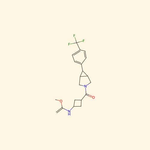 C=C(NC1CC(C(=O)N2CC3C(C2)C3c2ccc(C(F)(F)F)cc2)C1)OC